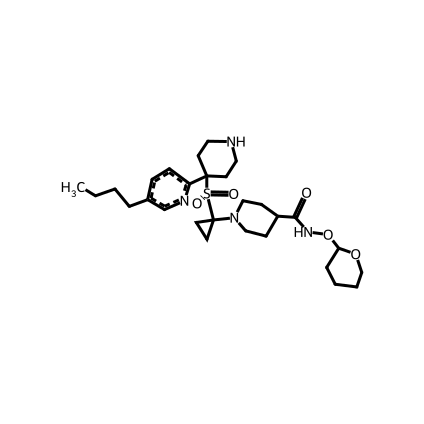 CCCCc1ccc(C2(S(=O)(=O)C3(N4CCC(C(=O)NOC5CCCCO5)CC4)CC3)CCNCC2)nc1